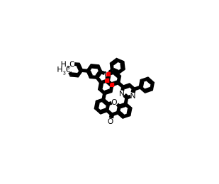 C/C=C\C(=C/C)c1ccc2c(c1)c1cc(-c3cccc4c(=O)c5cccc(-c6nc(-c7ccccc7)cc(-c7ccccc7)n6)c5oc34)ccc1n2-c1ccccc1